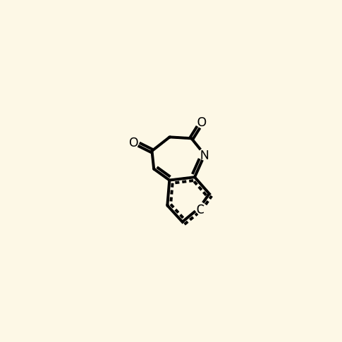 O=C1C=c2ccccc2=NC(=O)C1